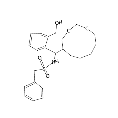 O=S(=O)(Cc1ccccc1)NC(c1ccccc1CO)C1CCCCCCCCC1